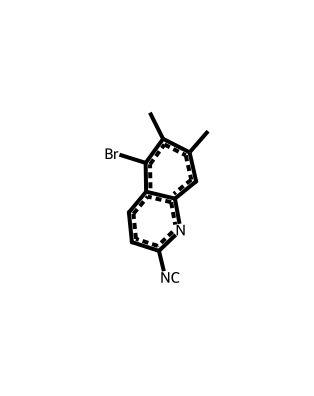 [C-]#[N+]c1ccc2c(Br)c(C)c(C)cc2n1